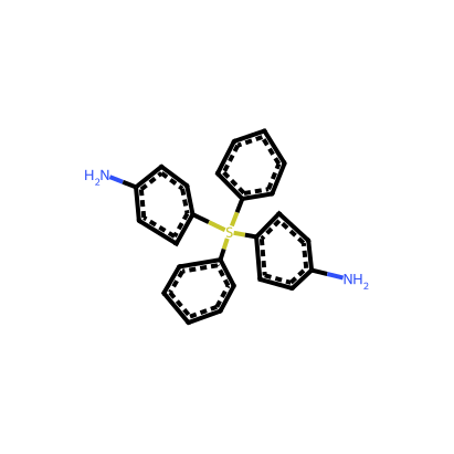 Nc1ccc(S(c2ccccc2)(c2ccccc2)c2ccc(N)cc2)cc1